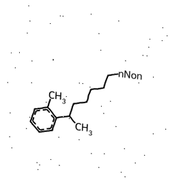 CCCCCCCCCCCCCC[C](C)c1ccccc1C